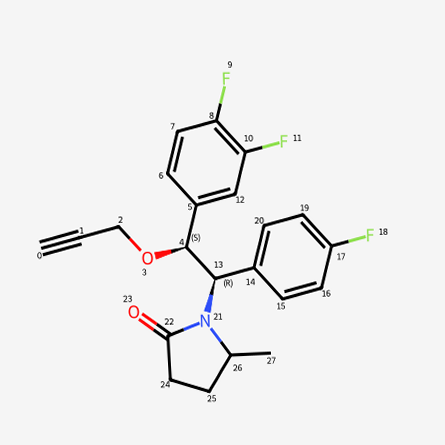 C#CCO[C@@H](c1ccc(F)c(F)c1)[C@@H](c1ccc(F)cc1)N1C(=O)CCC1C